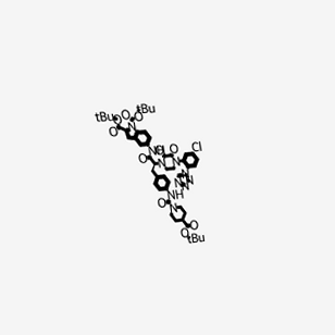 CC(C)(C)OC(=O)c1cc2cc(NC(=O)[C@H](Cc3ccc(NC(=O)N4CCC(C(=O)OC(C)(C)C)CC4)cc3)N3CCN(c4cc(Cl)ccc4-n4cnnn4)C(=O)C3=O)ccc2n1C(=O)OC(C)(C)C